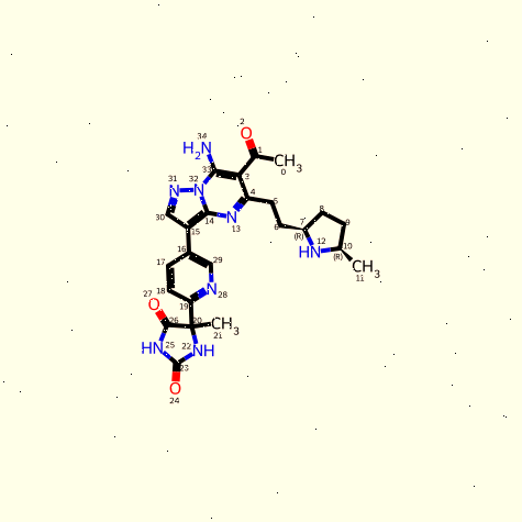 CC(=O)c1c(CC[C@H]2CC[C@@H](C)N2)nc2c(-c3ccc(C4(C)NC(=O)NC4=O)nc3)cnn2c1N